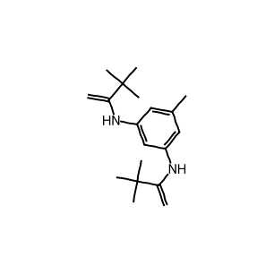 C=C(Nc1cc(C)cc(NC(=C)C(C)(C)C)c1)C(C)(C)C